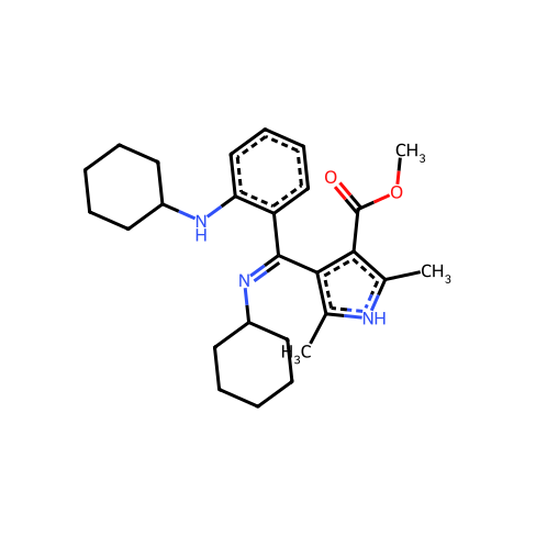 COC(=O)c1c(C)[nH]c(C)c1C(=NC1CCCCC1)c1ccccc1NC1CCCCC1